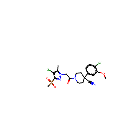 COc1cc(C2(C#N)CCN(C(=O)Cn3nc(S(C)(=O)=O)c(Cl)c3C)CC2)ccc1Cl